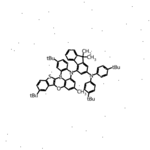 Cc1cc2c3c(c1)N(c1cc(N(c4ccc(C(C)(C)C)cc4)c4ccc(C(C)(C)C)cc4)cc4c1-c1ccccc1C4(C)C)c1ccc(C(C)(C)C)cc1B3c1sc3ccc(C(C)(C)C)cc3c1O2